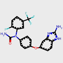 NC(=O)N(c1ccc(Oc2ccc3[nH]c(N)nc3c2)cc1)c1cc(C(F)(F)F)ccc1F